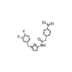 CCN(CC)c1ccc(CC(=O)Nc2ccn(Cc3ccc(F)c(F)c3)n2)cc1